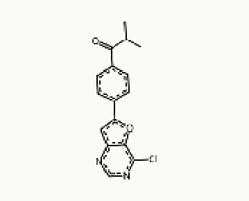 CC(C)C(=O)c1ccc(-c2cc3ncnc(Cl)c3o2)cc1